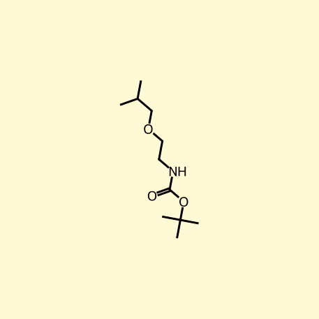 CC(C)COCCNC(=O)OC(C)(C)C